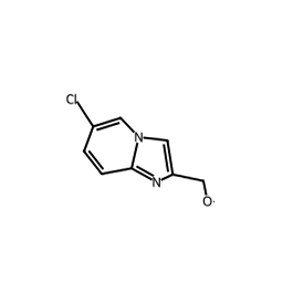 [O]Cc1cn2cc(Cl)ccc2n1